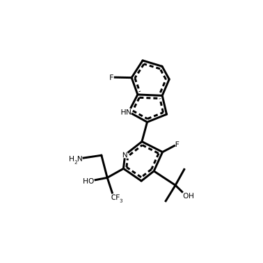 CC(C)(O)c1cc(C(O)(CN)C(F)(F)F)nc(-c2cc3cccc(F)c3[nH]2)c1F